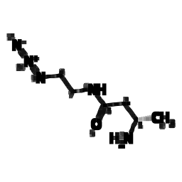 C[C@H](N)[CH]C(=O)NCCN=[N+]=[N-]